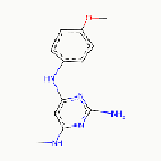 CNc1cc(Nc2ccc(OC)cc2)nc(N)n1